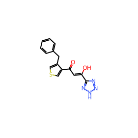 O=C(C=C(O)c1nn[nH]n1)c1cscc1Cc1ccccc1